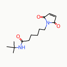 CC(C)(C)NC(=O)CCCCCN1C(=O)C=CC1=O